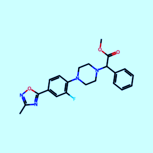 COC(=O)C(c1ccccc1)N1CCN(c2ccc(-c3nc(C)no3)cc2F)CC1